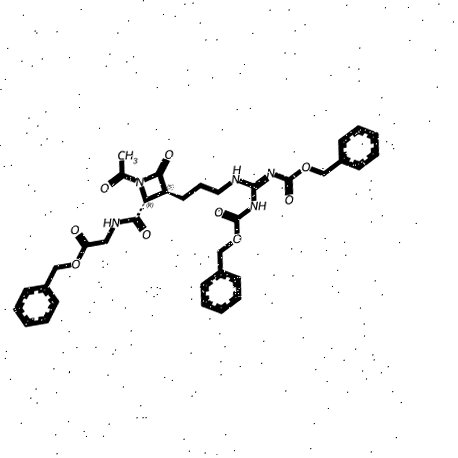 CC(=O)N1C(=O)[C@@H](CCCNC(=NC(=O)OCc2ccccc2)NC(=O)OCc2ccccc2)[C@@H]1C(=O)NCC(=O)OCc1ccccc1